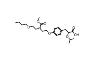 CCCCOCCN(CCOc1ccc(CC(OC(C)C)C(=O)O)cc1)C(=O)OC